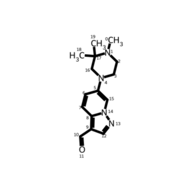 CN1CCN(c2ccc3c(C=O)cnn3c2)CC1(C)C